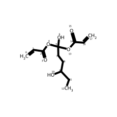 C=CC(=O)OC(O)(CCC(O)CC)OC(=O)C=C